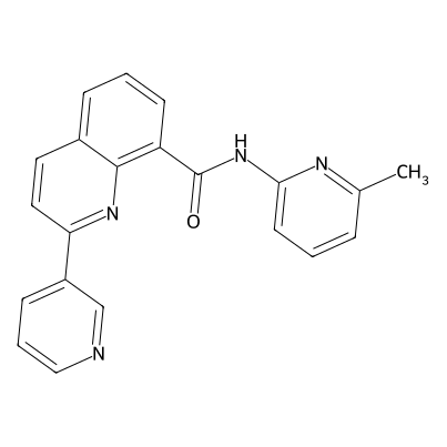 Cc1cccc(NC(=O)c2cccc3ccc(-c4cccnc4)nc23)n1